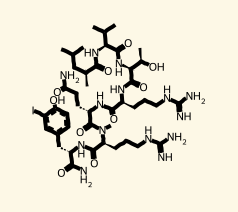 CC(C)C[C@H](C)C(=O)N[C@H](C(=O)N[C@H](C(=O)N[C@@H](CCCNC(=N)N)C(=O)N[C@@H](CCC(N)=O)C(=O)N(C)[C@@H](CCCNC(=N)N)C(=O)N[C@@H](Cc1ccc(O)c(I)c1)C(N)=O)[C@@H](C)O)C(C)C